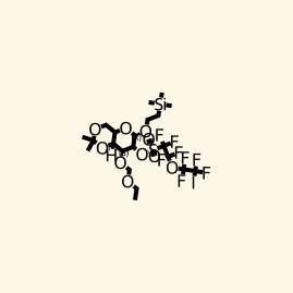 CCOCO[C@@H]1C(OS(=O)(=O)C(F)(F)C(F)(F)OC(F)(F)C(F)(F)I)[C@H](OCC[Si](C)(C)C)OC2COC(C)(C)O[C@H]21